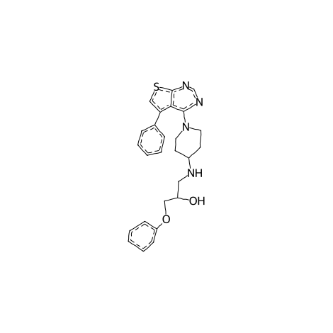 OC(CNC1CCN(c2ncnc3scc(-c4ccccc4)c23)CC1)COc1ccccc1